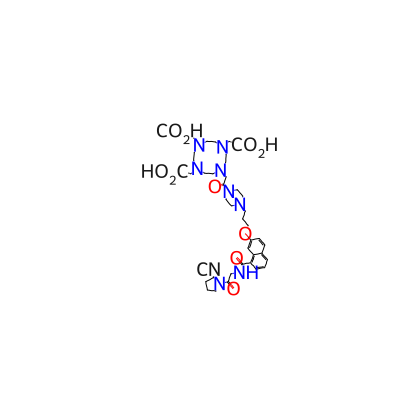 N#C[C@@H]1CCCN1C(=O)CNC(=O)c1cccc2ccc(OCCCN3CCN(C(=O)CN4CCN(CC(=O)O)CCN(CC(=O)O)CCN(CC(=O)O)CC4)CC3)cc12